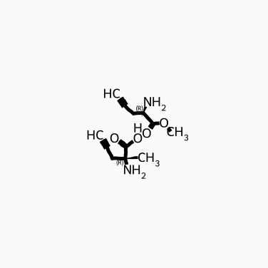 C#CC[C@@H](N)C(=O)OC.C#CC[C@@](C)(N)C(=O)O